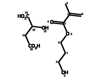 C=C(C)C(=O)OCCCO.O=C(O)CC(O)C(=O)O